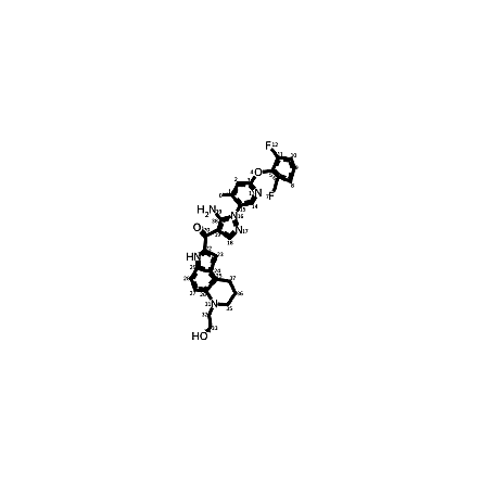 Cc1cc(Oc2c(F)cccc2F)ncc1-n1ncc(C(=O)c2cc3c4c(ccc3[nH]2)N(CCO)CCC4)c1N